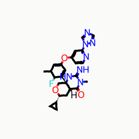 CC1C=C(Oc2ccnc(-n3cncn3)c2)C=C([C@]23CO[C@@H](C4CC4)C[C@H]2C(=O)N(C)C(=N)N3)C1F